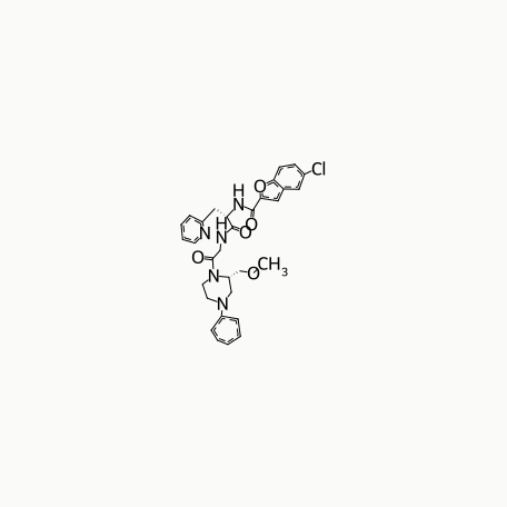 COC[C@@H]1CN(c2ccccc2)CCN1C(=O)CNC(=O)[C@H](Cc1ccccn1)NC(=O)c1cc2cc(Cl)ccc2o1